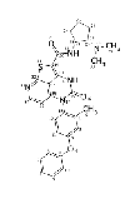 Cc1cc(Oc2ccccc2)ccc1N1C(=O)Nc2c(C(=O)N[C@@H]3CCC[C@@H]3N(C)C)sc3nccc1c23